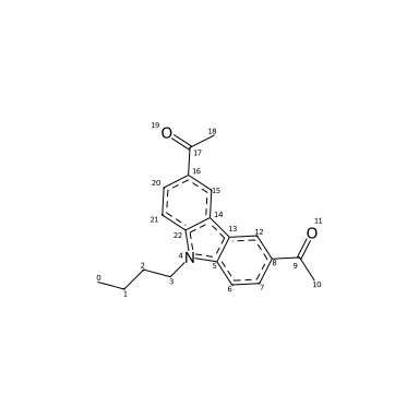 CCCCn1c2ccc(C(C)=O)cc2c2cc(C(C)=O)ccc21